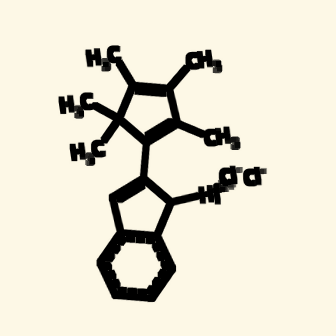 CC1=C(C)C(C)(C)C(C2=Cc3ccccc3[CH]2[Hf+2])=C1C.[Cl-].[Cl-]